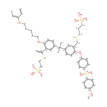 C=C/C(=C\C)OCCCCCOc1ccc(C(C)(C)c2ccc(Oc3ccc(S(=O)(=O)c4ccc(OC)cc4)cc3)c(CSCCCS(=O)(=O)O)c2)cc1C(=C)SCCS(=O)(=O)O